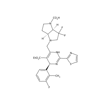 CCOC(=O)C1=C(CN2CC(F)(F)[C@H]3[C@@H]2CCN3C(=O)O)NC(c2nccs2)=N[C@H]1c1cccc(F)c1C